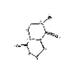 CC(C)(C)N1CCN2C(=O)CCCC2C1=O